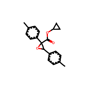 Cc1ccc(C2OC2(C(=O)OC2CC2)c2ccc(C)cc2)cc1